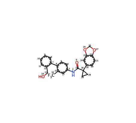 O=C(Nc1ccc(-c2ccccc2CO)c(C(F)(F)F)c1)C1(c2ccc3c(c2)OCO3)CC1